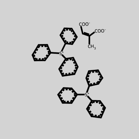 C/C(=C/C(=O)[O-])C(=O)[O-].c1ccc([S+](c2ccccc2)c2ccccc2)cc1.c1ccc([S+](c2ccccc2)c2ccccc2)cc1